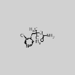 CC(C)(Cc1ccncc1Cl)OC(N)=O